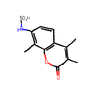 Cc1c(C)c2ccc(NS(=O)(=O)O)c(C)c2oc1=O